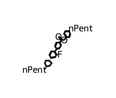 CCCCCc1ccc(OC(=O)c2ccc(-c3ccc([C@H]4CC[C@H](CCCCC)CC4)cc3F)cc2)cc1